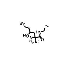 CCC(N)(CC(O)CCC(C)C)C(=O)NCC(C)C